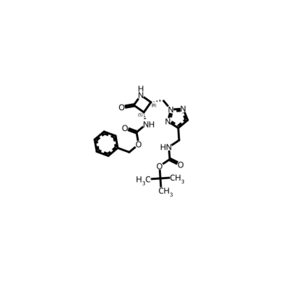 CC(C)(C)OC(=O)NCc1cnn(C[C@H]2NC(=O)[C@H]2NC(=O)OCc2ccccc2)n1